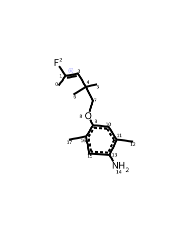 C/C(F)=C\C(C)(C)COc1cc(C)c(N)cc1C